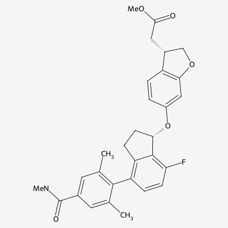 CNC(=O)c1cc(C)c(-c2ccc(F)c3c2CC[C@@H]3Oc2ccc3c(c2)OC[C@H]3CC(=O)OC)c(C)c1